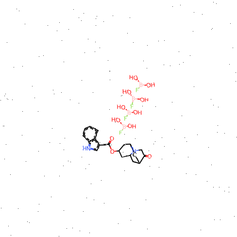 O=C(OC1CC2CC3CC(C1)N2CC3=O)c1c[nH]c2ccccc12.OB(O)F.OB(O)F.OB(O)F.OB(O)F